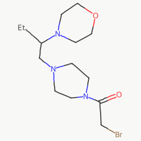 CCC(CN1CCN(C(=O)CBr)CC1)N1CCOCC1